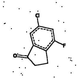 O=C1CCc2c(F)cc(Cl)cc21